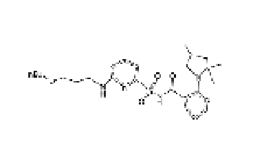 CCCCOCCCNc1cccc(S(=O)(=O)NC(=O)c2cccnc2N2CC(C)CC2(C)C)n1